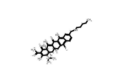 CCCCCNCc1ccc2c(F)c3c(c(O)c2c1)C(=O)C1=C(O)[C@]2(O)C(=O)C(C(N)=O)=C(O)[C@@H](N(C)C)[C@@H]2C[C@@H]1C3